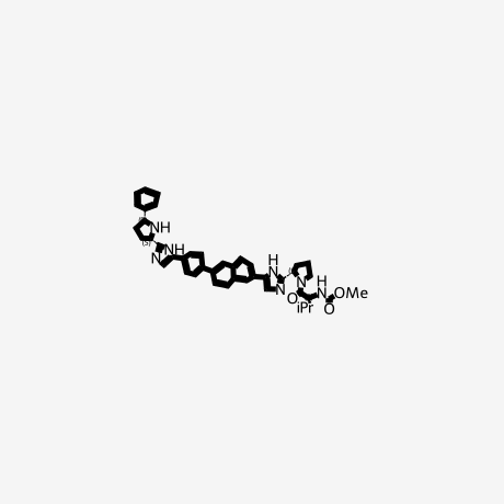 COC(=O)N[C@H](C(=O)N1CCC[C@H]1c1ncc(-c2ccc3cc(-c4ccc(-c5cnc([C@@H]6CC[C@H](c7ccccc7)N6)[nH]5)cc4)ccc3c2)[nH]1)C(C)C